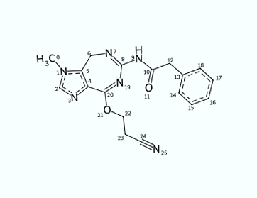 Cn1cnc2c1CN=C(NC(=O)Cc1ccccc1)N=C2OCCC#N